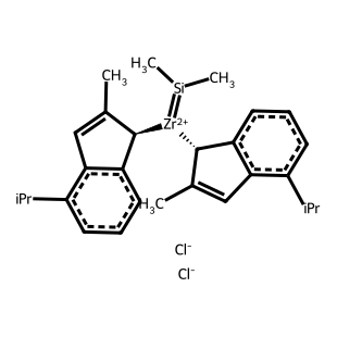 CC1=Cc2c(C(C)C)cccc2[C@@H]1[Zr+2]([C@H]1C(C)=Cc2c(C(C)C)cccc21)=[Si](C)C.[Cl-].[Cl-]